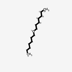 CCCCCCCOCCCCCCC